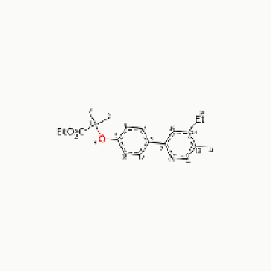 CCOC(=O)C(C)(C)Oc1ccc(-c2ccc(C)c(CC)c2)cc1